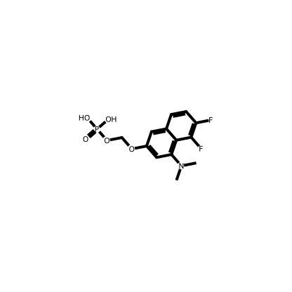 CN(C)c1cc(OCOP(=O)(O)O)cc2ccc(F)c(F)c12